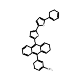 CC1=CCCC(c2c3c(c(-c4ccc(-c5ccc(C6=CC=CCC6)s5)s4)c4ccccc24)=CCCC=3)=C1